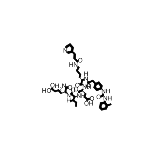 CCC(C)[C@H](NC(=O)[C@H](CCC(=O)O)NC(=O)[C@H](CCCCNC(=O)/C=C/c1cccnc1)NC(=O)Cc1ccc(NC(=O)Nc2ccccc2C)cc1)C(=O)N[C@@H](CCCC(=O)O)C(N)=O